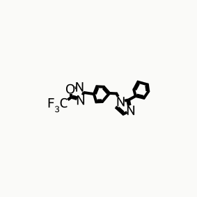 FC(F)(F)c1nc(-c2ccc(Cn3ccnc3-c3ccccc3)cc2)no1